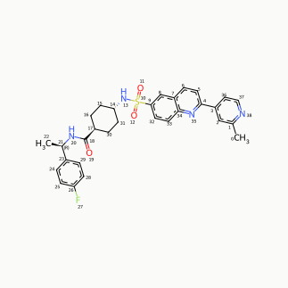 Cc1cc(-c2ccc3cc(S(=O)(=O)N[C@H]4CC[C@H](C(=O)N[C@H](C)c5ccc(F)cc5)CC4)ccc3n2)ccn1